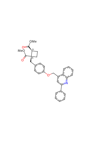 COC(=O)[C@H]1CC[C@]1(Cc1ccc(OCc2cc(-c3ccccc3)nc3ccccc23)cc1)C(=O)OC